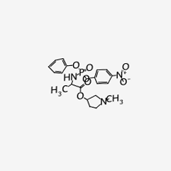 CC(NP(=O)(Oc1ccccc1)Oc1ccc([N+](=O)[O-])cc1)C(=O)OC1CCN(C)C1